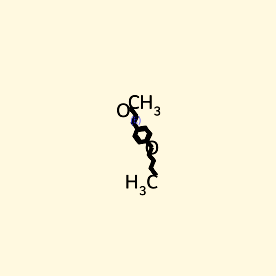 CCCCCOc1ccc(/C=C/C(C)=O)cc1